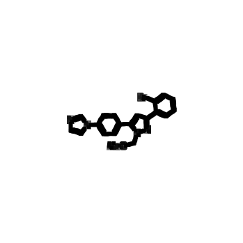 COCn1nc(-c2ccccc2Br)cc1-c1ccc(-n2ccnc2)cc1